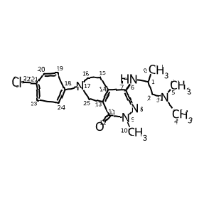 CC(CN(C)C)Nc1nn(C)c(=O)c2c1CCN(c1ccc(Cl)cc1)C2